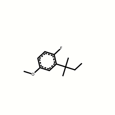 CCC(C)(C)c1cc(OC)ccc1F